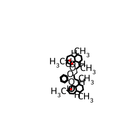 C[C@H]1[C@@H](C[C@H](Oc2ccccc2)C2O[C@@H]3C[C@]4(C)CC[C@H]5[C@H](C)CC[C@@H]([C@H]2C)[C@@]35OO4)O[C@@H]2C[C@]3(C)CC[C@H]4[C@H](C)CC[C@@H]1[C@@]24OO3